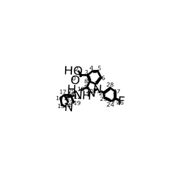 O=C(O)c1cccc2c1c(CN[C@H]1CN3CCC1CC3)nn2-c1ccc(F)cc1